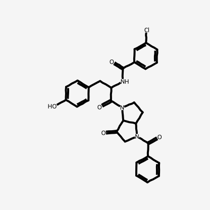 O=C(NC(Cc1ccc(O)cc1)C(=O)N1CCC2C1C(=O)CN2C(=O)c1ccccc1)c1cccc(Cl)c1